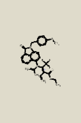 C=C/C(C(=O)OCC)=C(\N(C(=C)C)c1ccc2c3c(cccc13)C(=O)N2Cc1ccc(OC)cc1)C(F)(F)F